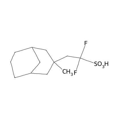 CC1(CC(F)(F)S(=O)(=O)O)CC2CCCC(C2)C1